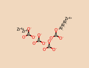 [Al].[Al].[Al].[O-]B([O-])[O-].[O-]B([O-])[O-].[O-]B([O-])[O-].[O-]B([O-])[O-].[Zr+4].[Zr+4].[Zr+4]